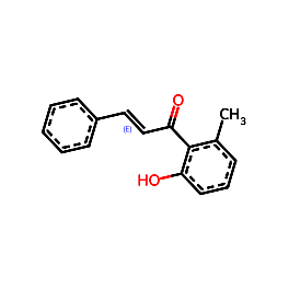 Cc1cccc(O)c1C(=O)/C=C/c1ccccc1